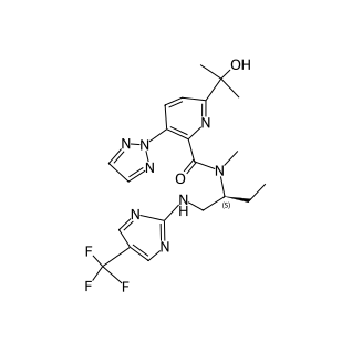 CC[C@@H](CNc1ncc(C(F)(F)F)cn1)N(C)C(=O)c1nc(C(C)(C)O)ccc1-n1nccn1